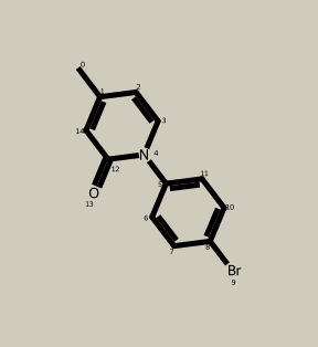 Cc1ccn(-c2ccc(Br)cc2)c(=O)c1